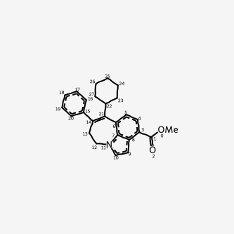 COC(=O)c1ccc2c3c1ccn3CCC(c1ccccc1)=C2C1CCCCC1